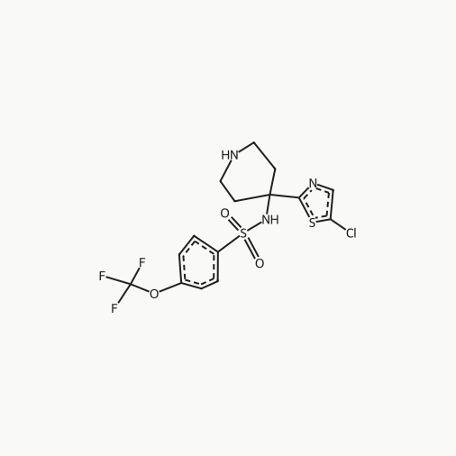 O=S(=O)(NC1(c2ncc(Cl)s2)CCNCC1)c1ccc(OC(F)(F)F)cc1